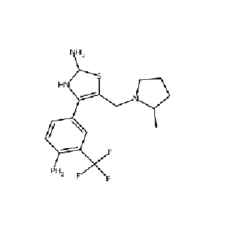 CC1CCCN1CC1=C(c2ccc(P)c(C(F)(F)F)c2)NC(N)S1